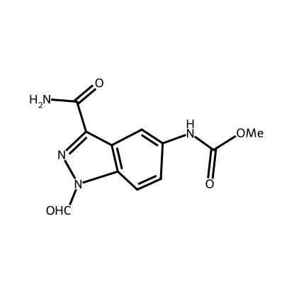 COC(=O)Nc1ccc2c(c1)c(C(N)=O)nn2C=O